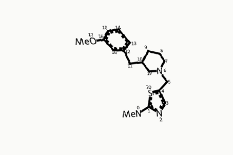 CNc1ncc(CN2CCCC(Cc3cccc(OC)c3)C2)s1